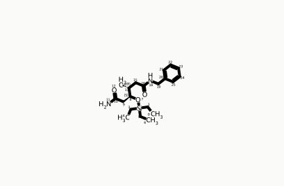 CC[Si](CC)(CC)O[C@@H](CC(N)=O)[C@H](C)CC(=O)NCc1ccccc1